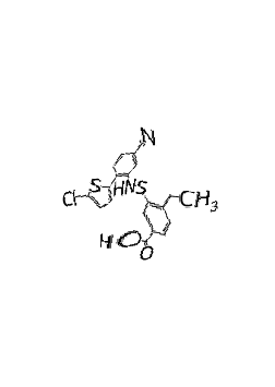 CCc1ccc(C(=O)O)cc1SNc1cc(C#N)ccc1-c1ccc(Cl)s1